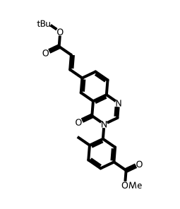 COC(=O)c1ccc(C)c(-n2cnc3ccc(/C=C/C(=O)OC(C)(C)C)cc3c2=O)c1